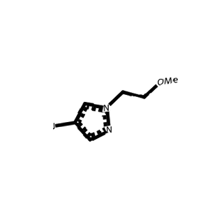 COCCn1cc(I)cn1